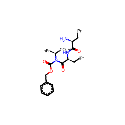 CCC[C@@H](C(=O)O)N(C(=O)OCc1ccccc1)C(=O)[C@H](CC(C)C)NC(=O)[C@@H](N)CC(C)C